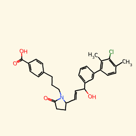 Cc1ccc(-c2cccc(C(O)/C=C/C3CCC(=O)N3CCCc3ccc(C(=O)O)cc3)c2)c(C)c1Cl